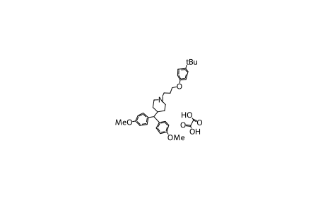 COc1ccc(C(c2ccc(OC)cc2)C2CCN(CCCOc3ccc(C(C)(C)C)cc3)CC2)cc1.O=C(O)C(=O)O